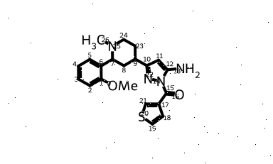 COc1ccccc1C1CC(c2cc(N)n(C(=O)c3ccsc3)n2)CCN1C